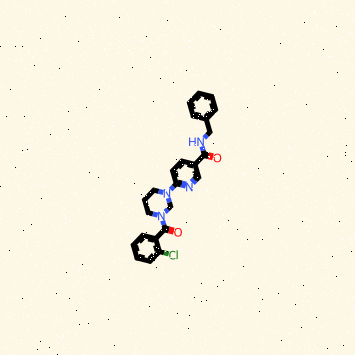 O=C(NCc1ccccc1)c1ccc(N2CCCN(C(=O)c3ccccc3Cl)C2)nc1